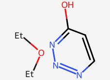 CCOCC.Oc1ccnnn1